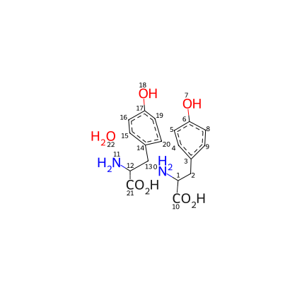 NC(Cc1ccc(O)cc1)C(=O)O.NC(Cc1ccc(O)cc1)C(=O)O.O